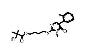 Cc1ccccc1-c1cnc(SCCCCOC(=O)C(C)(C)C(C)C)n(C)c1=O